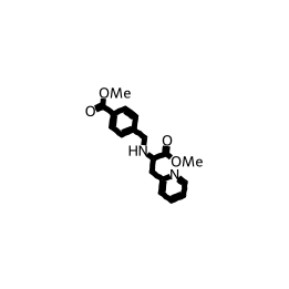 COC(=O)c1ccc(CNC(Cc2ccccn2)C(=O)OC)cc1